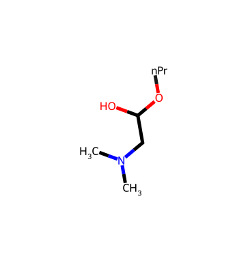 CCCOC(O)CN(C)C